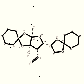 O=N[C@@H]1[C@H]2OC3(CCCCC3)O[C@H]2O[C@@H]1C1COC2(CCCCC2)O1